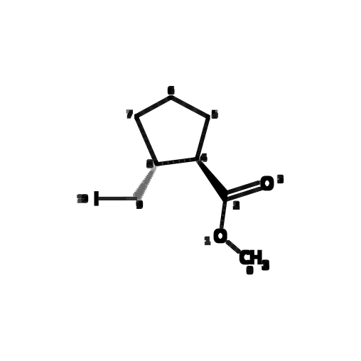 COC(=O)[C@@H]1CCC[C@H]1CI